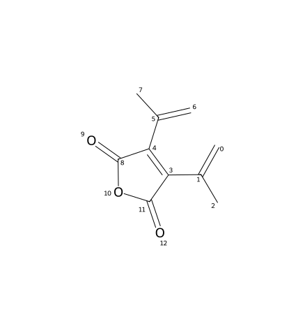 C=C(C)C1=C(C(=C)C)C(=O)OC1=O